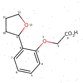 O=C(O)COc1ccccc1C1CCCO1